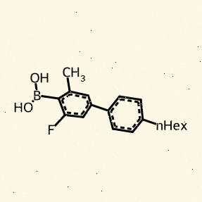 CCCCCCc1ccc(-c2cc(C)c(B(O)O)c(F)c2)cc1